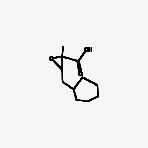 CC1(C(=O)O)OC1CC1CCCCC1